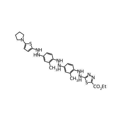 CCOC(=O)c1nnc(NNc2ccc(NNc3ccc(NNc4ccc(N5CCCC5)s4)cc3C)cc2C)s1